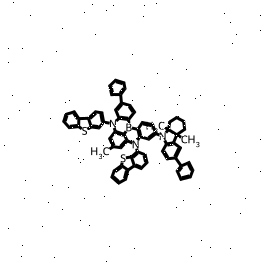 Cc1cc2c3c(c1)N(c1cccc4c1sc1ccccc14)c1cc(N4c5ccc(-c6ccccc6)cc5C5(C)CCCCC45C)ccc1B3c1ccc(-c3ccccc3)cc1N2c1ccc2c(c1)sc1ccccc12